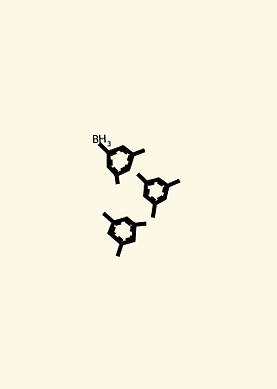 B.Cc1cc(C)cc(C)c1.Cc1cc(C)cc(C)c1.Cc1cc(C)cc(C)c1